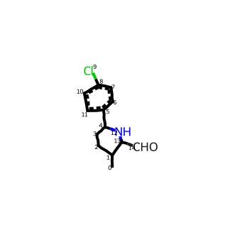 CC1CCC(c2ccc(Cl)cc2)NC1C=O